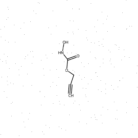 C#CCOC(=O)NO